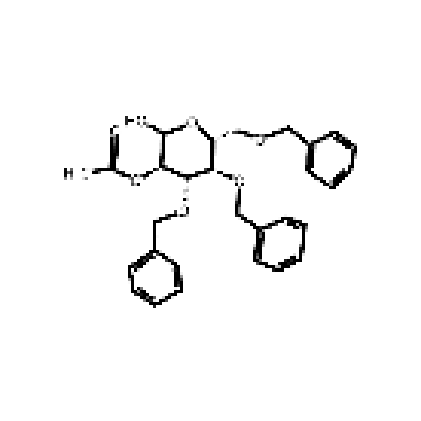 CC(=O)O[C@H]1C(O)O[C@H](COCc2ccccc2)[C@@H](OCc2ccccc2)[C@@H]1OCc1ccccc1